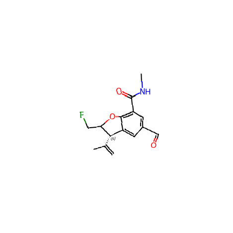 C=C(C)[C@H]1c2cc(C=O)cc(C(=O)NC)c2OC1CF